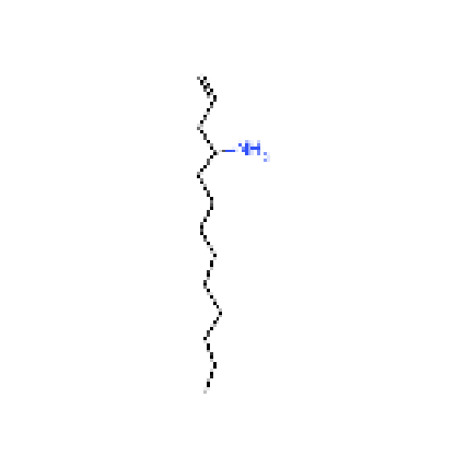 C=CCC(N)CCCCCCCCC